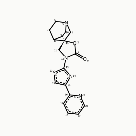 O=C1O[C@]2(CN3CCC2CC3)CN1c1nc(-c2ccccn2)cs1